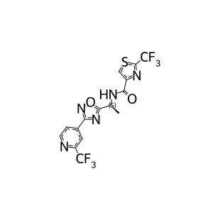 C[C@H](NC(=O)c1csc(C(F)(F)F)n1)c1nc(-c2ccnc(C(F)(F)F)c2)no1